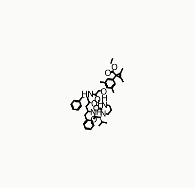 CCOC(=O)C1(c2cc(C)c(OCC(=O)N[C@@H](Cc3ccccc3)[C@@H](O)CC(Cc3ccccc3)NC(=O)[C@H](C(C)C)N3CCCNC3=O)c(C)c2)C(C)=C1C